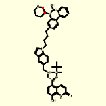 CC(C)(C)[Si](C)(C)O[C@@H](CNCc1ccc2c(ccn2CCCCc2ccc(-c3ccccc3)c(N(C(=O)O)C3CN4CCC3CC4)c2)c1)c1ccc(O)c2[nH]c(=O)ccc12